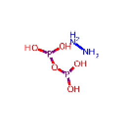 NN.OP(O)OP(O)O